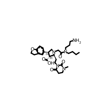 CCCCN(CCCN)C(=O)CN1C[C@H](c2ccc3c(c2)CCO3)[C@@H](C(=O)O)[C@@H]1CCN1C(=O)CCN(C)C1=O